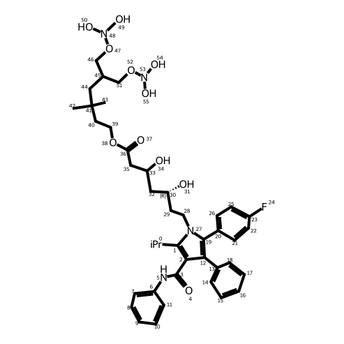 CC(C)c1c(C(=O)Nc2ccccc2)c(-c2ccccc2)c(-c2ccc(F)cc2)n1CC[C@@H](O)CC(O)CC(=O)OCCC(C)(C)CC(CON(O)O)CON(O)O